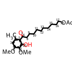 COc1cc(C)c(C(=O)CCCCCCCCCCOC(C)=O)c(O)c1OC